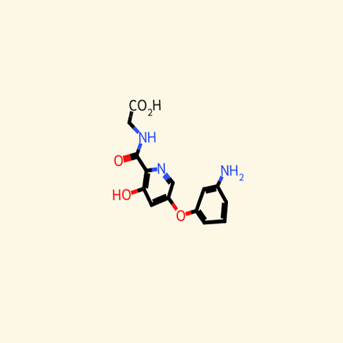 Nc1cccc(Oc2cnc(C(=O)NCC(=O)O)c(O)c2)c1